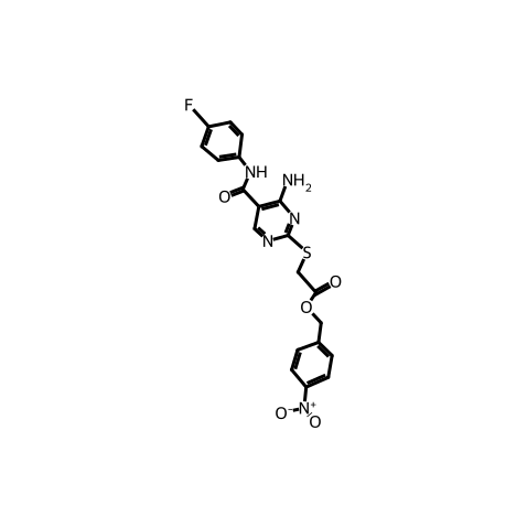 Nc1nc(SCC(=O)OCc2ccc([N+](=O)[O-])cc2)ncc1C(=O)Nc1ccc(F)cc1